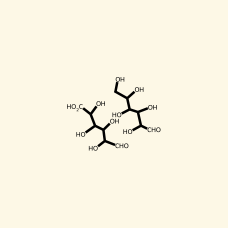 O=CC(O)C(O)C(O)C(O)C(=O)O.O=CC(O)C(O)C(O)C(O)CO